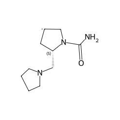 NC(=O)N1C[CH]C[C@H]1CN1CCCC1